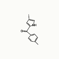 Cc1ccc(C(=O)c2cc(C)c[nH]2)cc1